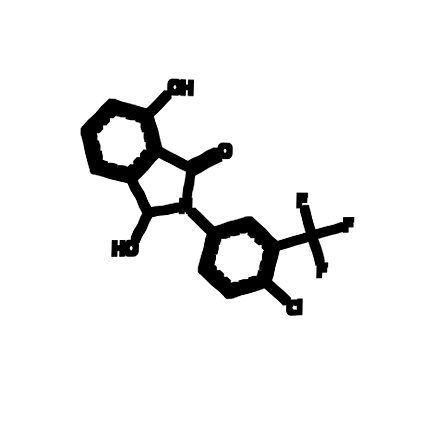 O=C1c2c(O)cccc2C(O)N1c1ccc(Cl)c(C(F)(F)F)c1